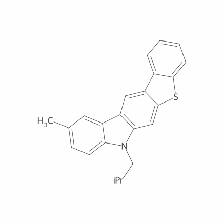 Cc1ccc2c(c1)c1cc3c(cc1n2CC(C)C)sc1ccccc13